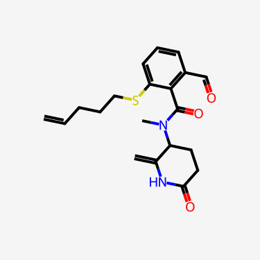 C=CCCCSc1cccc(C=O)c1C(=O)N(C)C1CCC(=O)NC1=C